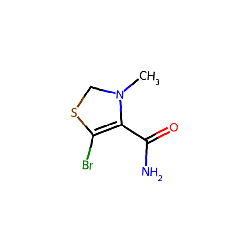 CN1CSC(Br)=C1C(N)=O